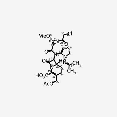 CO[N+]1=C(C(=O)N(C2=CSCN2N=C(C)C)[C@@H]2C(=O)N3C(C(=O)O)=C(COC(C)=O)CS[C@@H]23)N1C(=O)CCl